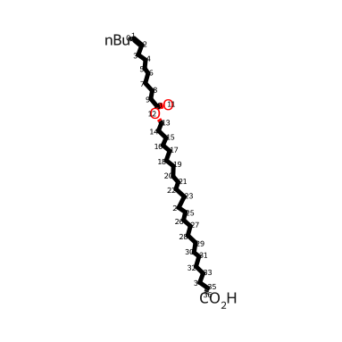 CCCC/C=C\CCCCCCCC(=O)OCCCCCCCCCCCCCCCCCCCCCCCC(=O)O